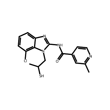 Cc1cc(C(=O)Nc2nc3cccc(Cl)c3n2CC(C)S)ccn1